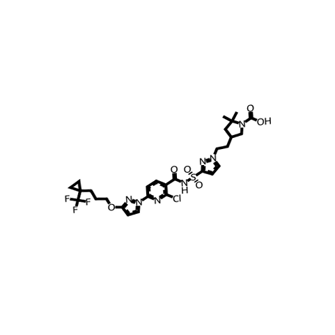 CC1(C)CC(CCn2ccc(S(=O)(=O)NC(=O)c3ccc(-n4ccc(OCCCC5(C(F)(F)F)CC5)n4)nc3Cl)n2)CN1C(=O)O